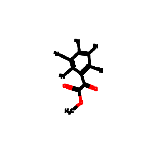 [2H]c1c([2H])c([2H])c(C(=O)C(=O)OC)c([2H])c1[2H]